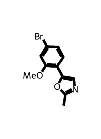 COc1cc(Br)ccc1-c1cnc(C)o1